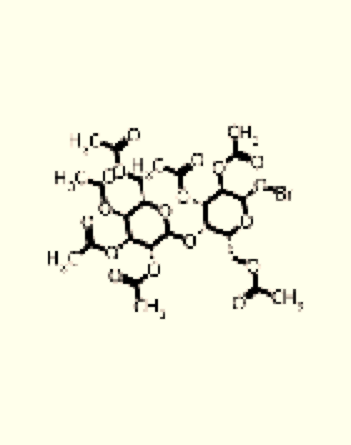 CC(=O)OC[C@H]1O[C@H](OBr)[C@H](OC(C)=O)[C@@H](OC(C)=O)[C@H]1OC1O[C@H](COC(C)=O)[C@H](OC(C)=O)[C@H](OC(C)=O)[C@H]1OC(C)=O